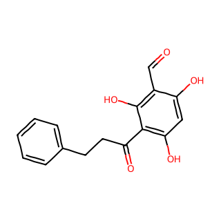 O=Cc1c(O)cc(O)c(C(=O)CCc2ccccc2)c1O